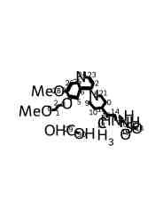 COCCOc1cc2c(N3CCC(C(C)CNN[SH](=O)=O)CC3)ccnc2cc1OC.O=CO